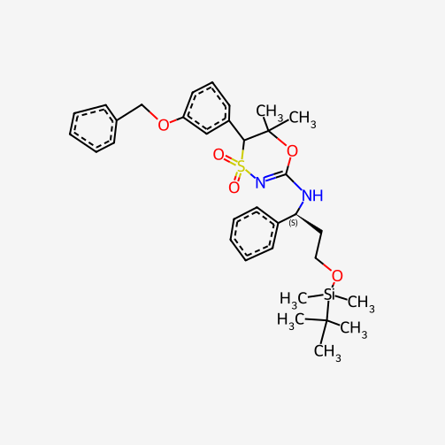 CC1(C)OC(N[C@@H](CCO[Si](C)(C)C(C)(C)C)c2ccccc2)=NS(=O)(=O)C1c1cccc(OCc2ccccc2)c1